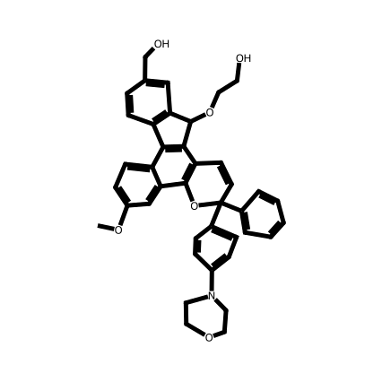 COc1ccc2c3c(c4c(c2c1)OC(c1ccccc1)(c1ccc(N2CCOCC2)cc1)C=C4)C(OCCO)c1cc(CO)ccc1-3